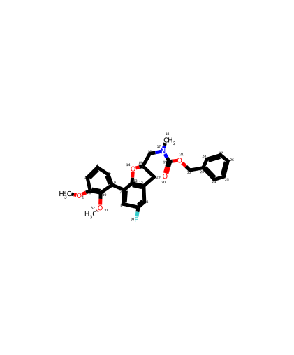 COc1cccc(-c2cc(F)cc3c2OC(CN(C)C(=O)OCc2ccccc2)C3)c1OC